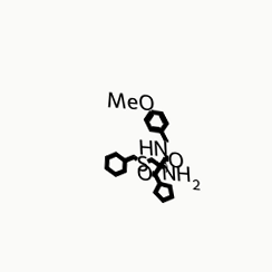 COc1ccc(CNC(=O)[C@@](N)(CSCC2CCCCC2)C(=O)C2CCCC2)cc1